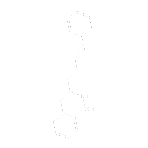 O=C(O)NC(CCCCc1ccccc1)Cc1ccccc1